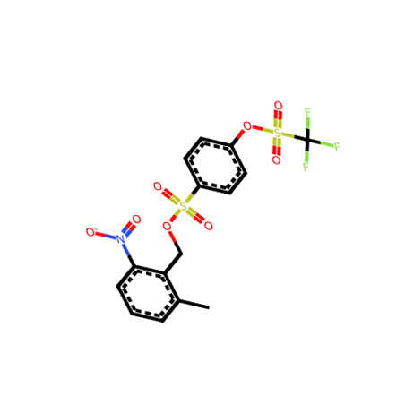 Cc1cccc([N+](=O)[O-])c1COS(=O)(=O)c1ccc(OS(=O)(=O)C(F)(F)F)cc1